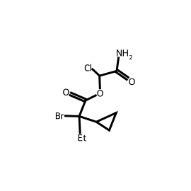 CCC(Br)(C(=O)OC(Cl)C(N)=O)C1CC1